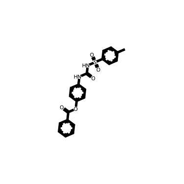 Cc1ccc(S(=O)(=O)NC(=O)Nc2ccc(OC(=O)c3ccccc3)cc2)cc1